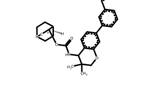 C=Cc1cccc(-c2ccc3c(c2)OCC(C)(C)C3NC(=O)O[C@H]2CN3CCC2CC3)c1